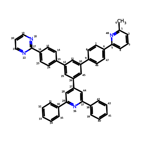 Cc1cccc(-c2ccc(-c3cc(-c4ccc(-c5ncccn5)cc4)cc(-c4cc(-c5ccccc5)nc(-c5ccccc5)c4)c3)cc2)n1